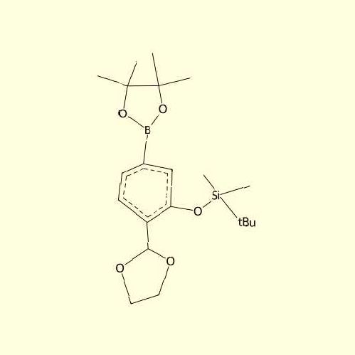 CC1(C)OB(c2ccc(C3OCCO3)c(O[Si](C)(C)C(C)(C)C)c2)OC1(C)C